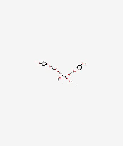 C=CC(=O)OCC(CCC(COC(=O)CCC(=O)Oc1ccc(C(=O)O)cc1)OC(=O)C=C)OC(=O)CCC(=O)Oc1ccc(C(=O)O)cc1